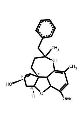 COC1=CC(C)=C2NC(C)(Cc3ccccc3)CC[C@]34C=C[C@H](O)C[C@@H]3OC1C24